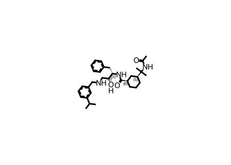 CC(=O)NC(C)(C)[C@H]1CCC[C@@H](C(=O)N[C@@H](Cc2ccccc2)[C@H](O)CNCc2cccc(C(C)C)c2)C1